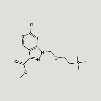 COC(=O)c1nn(COCCS(C)(C)C)c2cc(Cl)ncc12